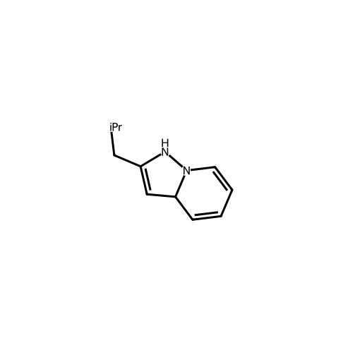 CC(C)CC1=CC2C=CC=CN2N1